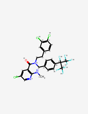 CNc1ncc(Cl)cc1C(=O)N(CCc1ccc(Cl)c(Cl)c1)Cc1ccc(C(F)(C(F)(F)F)C(F)(F)F)cc1